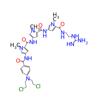 Cn1cc(NC(=O)c2cc(NC(=O)c3cc(NC(=O)c4ccc(N(CCCl)CCCl)cc4)cn3C)cn2C)cc1C(=O)NCCNC(=N)N